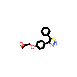 c1ccc(-c2snnc2-c2ccc(OCC3CO3)cc2)cc1